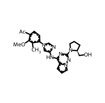 COc1c(C(C)=O)ccc(-n2cnc(Nc3nc(N4CCC[C@H]4CO)nn4cccc34)c2)c1C